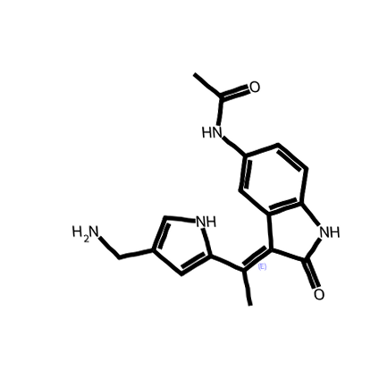 CC(=O)Nc1ccc2c(c1)/C(=C(/C)c1cc(CN)c[nH]1)C(=O)N2